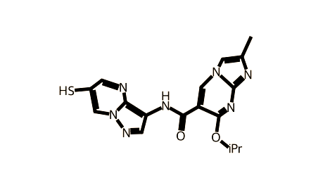 Cc1cn2cc(C(=O)Nc3cnn4cc(S)cnc34)c(OC(C)C)nc2n1